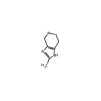 Cc1nc2c([nH]1)CC[N]C2